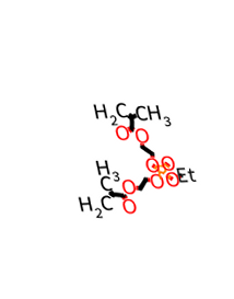 C=C(C)C(=O)OCCOP(=O)(OCC)OCCOC(=O)C(=C)C